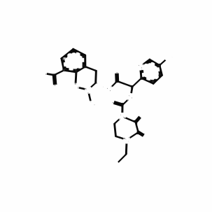 CCN1CCN(C(=O)NC(C(=O)N[C@H]2Cc3cccc(C(=O)O)c3OB2O)c2ccc(O)cn2)C(=O)C1=O